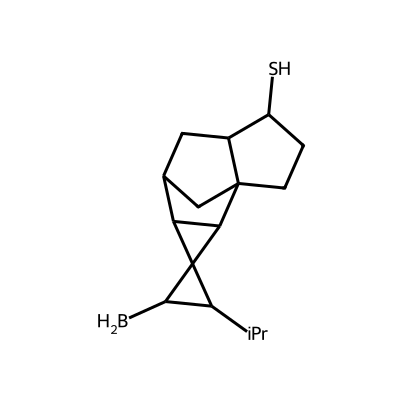 BC1C(C(C)C)C12C1C3CC4C(S)CCC4(C3)C12